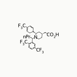 CCC[C@H](c1cc(C(F)(F)F)ccc1C(F)(F)F)N1CC[C@H](CC(=O)O)C[C@@H]1C1C=CC(C(F)(F)F)=CC1